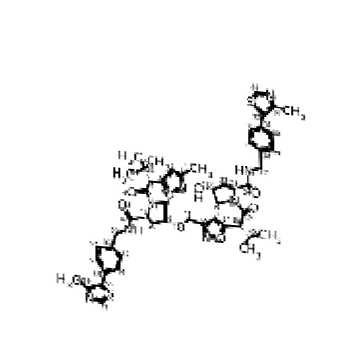 Cc1cc([C@H](C(=O)N2C[C@H](OCc3cc([C@H](C(=O)N4C[C@H](O)C[C@H]4C(=O)NCc4ccc(-c5scnc5C)cc4)C(C)C)on3)C[C@H]2C(=O)NCc2ccc(-c3scnc3C)cc2)C(C)(C)C)on1